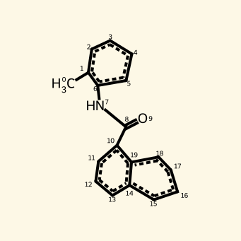 Cc1ccccc1NC(=O)c1cccc2ccccc12